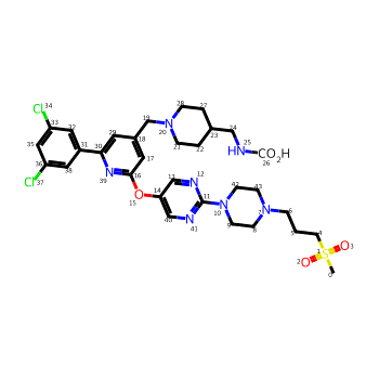 CS(=O)(=O)CCCN1CCN(c2ncc(Oc3cc(CN4CCC(CNC(=O)O)CC4)cc(-c4cc(Cl)cc(Cl)c4)n3)cn2)CC1